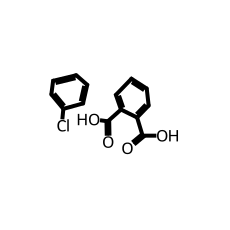 Clc1ccccc1.O=C(O)c1ccccc1C(=O)O